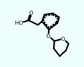 O=C(O)Cc1ccccc1OC1CCCCO1